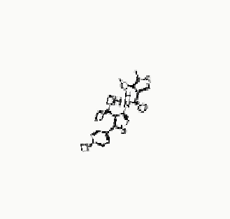 COc1c(C(=O)Nc2csc(-c3ccc(Cl)cc3)c2C(=O)O)csc1C